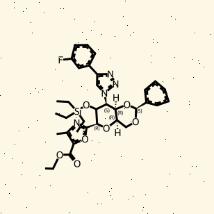 CCOC(=O)c1oc([C@@H]2O[C@@H]3CO[C@H](c4ccccc4)O[C@@H]3[C@H](n3cc(-c4cccc(F)c4)nn3)C2O[Si](CC)(CC)CC)nc1C